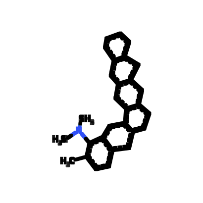 Cc1ccc2cc3ccc4cc5cc6ccccc6cc5cc4c3cc2c1N([SiH3])[SiH3]